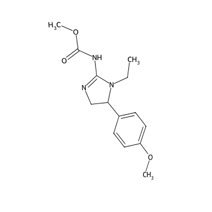 CCN1C(NC(=O)OC)=NCC1c1ccc(OC)cc1